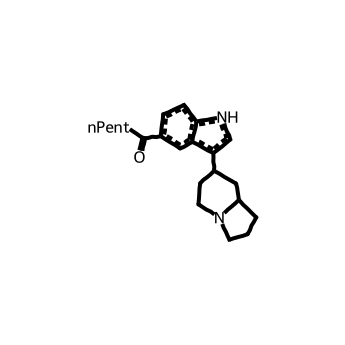 CCCCCC(=O)c1ccc2[nH]cc(C3CCN4CCCC4C3)c2c1